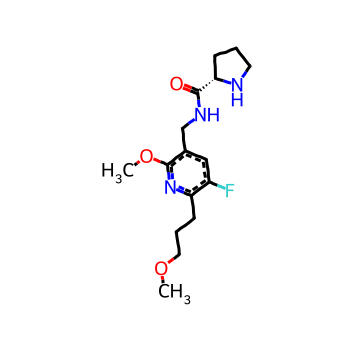 COCCCc1nc(OC)c(CNC(=O)[C@@H]2CCCN2)cc1F